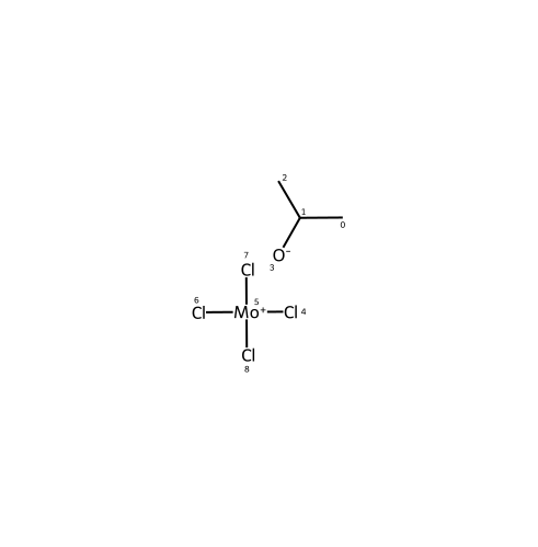 CC(C)[O-].[Cl][Mo+]([Cl])([Cl])[Cl]